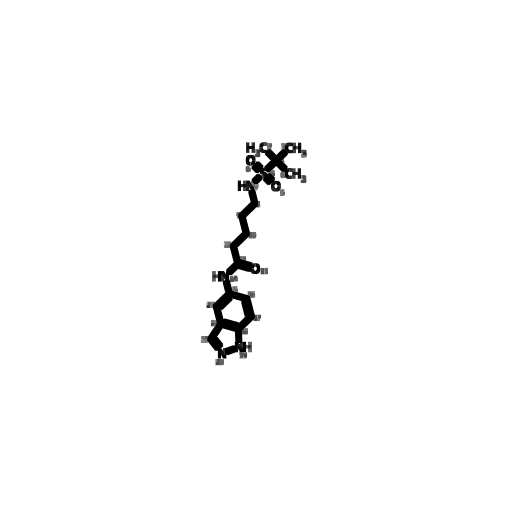 CC(C)(C)S(=O)(=O)NCCCCC(=O)Nc1ccc2[nH]ncc2c1